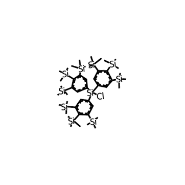 C[Si](C)(C)c1cc([Si](Cl)(c2cc([Si](C)(C)C)c([Si](C)(C)C)c([Si](C)(C)C)c2)c2cc([Si](C)(C)C)c([Si](C)(C)C)c([Si](C)(C)C)c2)cc([Si](C)(C)C)c1[Si](C)(C)C